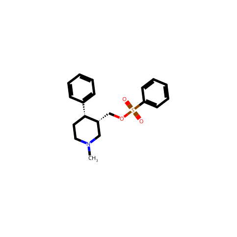 CN1CC[C@H](c2ccccc2)[C@H](COS(=O)(=O)c2ccccc2)C1